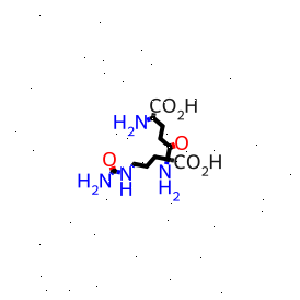 NC(=O)NCCCC(N)(C(=O)O)C(=O)CCC(N)C(=O)O